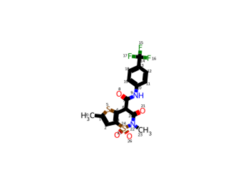 Cc1cc2c(s1)C(C(=O)Nc1ccc(C(F)(F)F)cc1)C(=O)N(C)S2(=O)=O